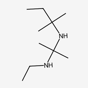 CCNC(C)(C)NC(C)(C)CC